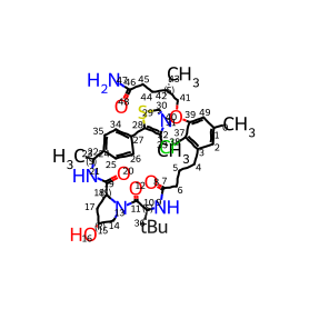 Cc1cc(CCCC(=O)N[C@H](C(=O)N2C[C@H](O)C[C@H]2C(=O)N[C@@H](C)c2ccc(-c3scnc3C)cc2)C(C)(C)C)c(Cl)c(OC[C@@H](C)CCC(N)=O)c1